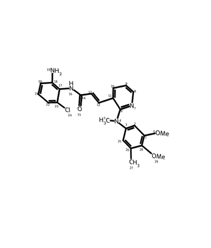 COc1cc(N(C)c2ncccc2/C=C/C(=O)Nc2c(N)cccc2Cl)cc(C)c1OC